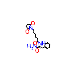 NC(=O)[C@@H](Cc1ccccc1)NC(=O)CCCCCN1C(=O)CCC1=O